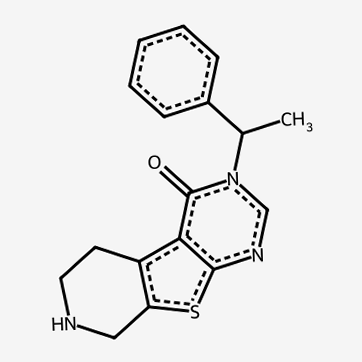 CC(c1ccccc1)n1cnc2sc3c(c2c1=O)CCNC3